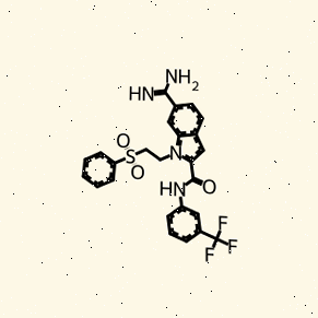 N=C(N)c1ccc2cc(C(=O)Nc3cccc(C(F)(F)F)c3)n(CCS(=O)(=O)c3ccccc3)c2c1